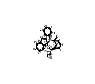 IC12C=CC=C3[C](=CC=C31)[Zr+2][C]1(C=Cc3ccccc31)P2c1ccccc1.[Cl-].[Cl-]